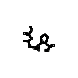 COC(=O)OC(C)On1on1N1CCC[C@H]1C(=O)O